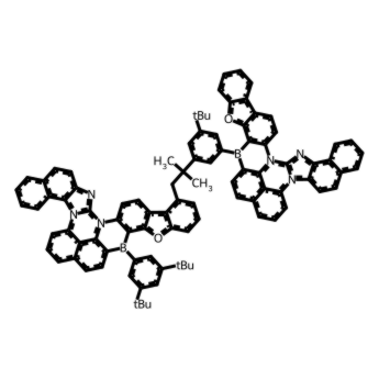 CC(C)(C)c1cc(B2c3c(ccc4c3oc3cccc(CC(C)(C)c5cc(B6c7c(ccc8c7oc7ccccc78)-n7c8c6ccc6cccc(c68)n6c8ccc9ccccc9c8nc76)cc(C(C)(C)C)c5)c34)-n3c4c2ccc2cccc(c24)n2c4c(ccc5ccccc54)nc32)cc(C(C)(C)C)c1